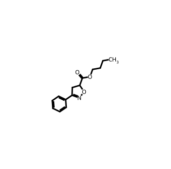 CCCCOC(=O)C1CC(c2ccccc2)=NO1